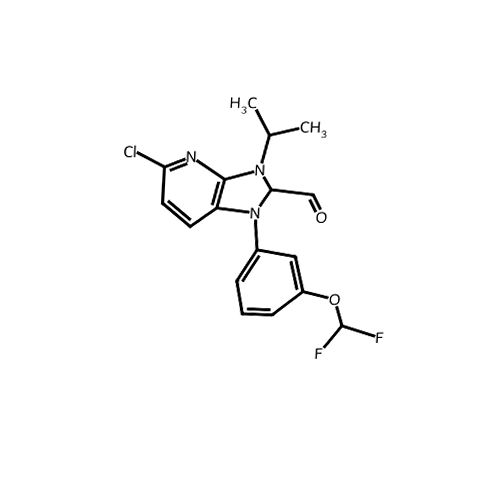 CC(C)N1c2nc(Cl)ccc2N(c2cccc(OC(F)F)c2)C1C=O